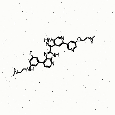 CN(C)CCNc1cc(F)cc(-c2ccnc3[nH]c(-c4n[nH]c5cnc(-c6cncc(OCCN(C)C)c6)cc45)nc23)c1